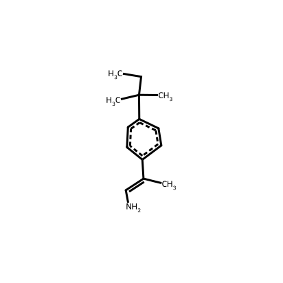 CCC(C)(C)c1ccc(/C(C)=C/N)cc1